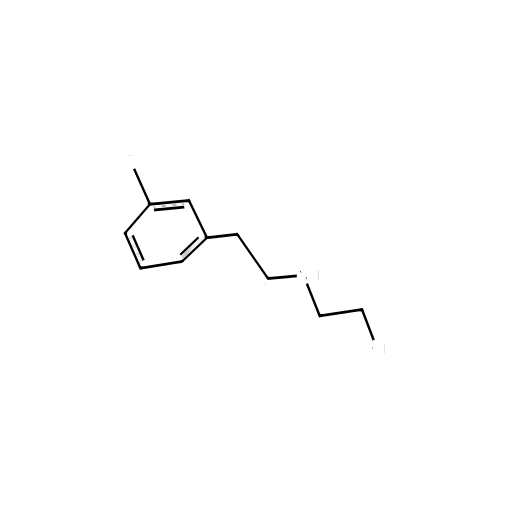 OCCNCCc1cccc(F)c1